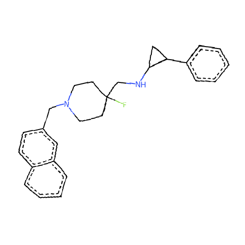 FC1(CNC2CC2c2ccccc2)CCN(Cc2ccc3ccccc3c2)CC1